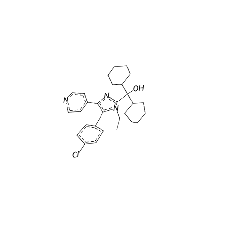 CCn1c(C(O)(C2CCCCC2)C2CCCCC2)nc(-c2ccncc2)c1-c1ccc(Cl)cc1